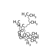 C=CCOC(=O)CCCCC.Cc1c(C)c2c(c(C)c1O)CC[C@@](C)(CCCC(C)CCCC(C)CCCC(C)C)O2